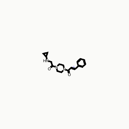 O=C(/C=C/c1ccccc1)N1CCN(C(=O)CNC2CC2)CC1